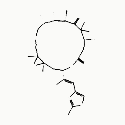 CC(=Cc1csc(C)n1)[C@@H]1C[C@@H]2O[C@]2(C)COC[C@H](C)[C@H](O)[C@@H](C)C(=O)C(C)(C)[C@@H](O)CC(=O)O1